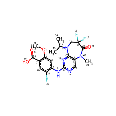 COc1cc(Nc2ncc3c(n2)N(C(C)C)CC(F)(F)C(=O)N3C)c(F)cc1C(=O)O